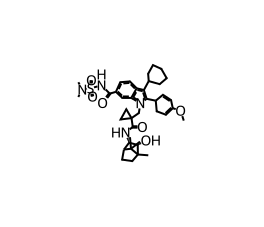 COC1=CCC(c2c(C3CCCCC3)c3ccc(C(=O)NS(=O)(=O)N(C)C)cc3n2CC2(C(=O)N[C@@H]3C4CCC(C)([C@@H]3O)C4(C)C)CC2)C=C1